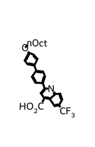 CCCCCCCCOc1ccc(-c2ccc(-c3cc(C(=O)O)c4cc(C(F)(F)F)ccc4n3)cc2)cc1